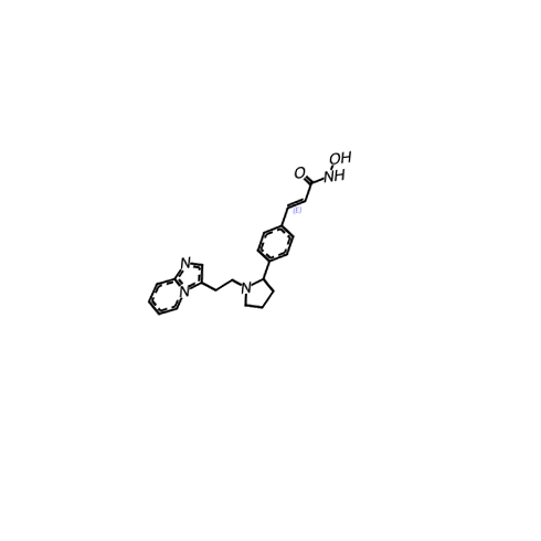 O=C(/C=C/c1ccc(C2CCCN2CCc2cnc3ccccn23)cc1)NO